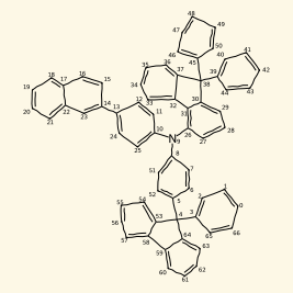 c1ccc(C2(c3ccc(N(c4ccc(-c5ccc6ccccc6c5)cc4)c4cccc5c4-c4ccccc4C5(c4ccccc4)c4ccccc4)cc3)c3ccccc3-c3ccccc32)cc1